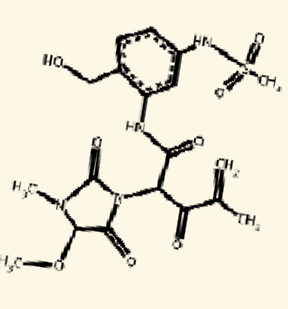 C=C(C)C(=O)C(C(=O)Nc1cc(NS(C)(=O)=O)ccc1CO)N1C(=O)C(OC)N(C)C1=O